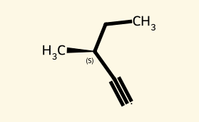 [C]#C[C@@H](C)CC